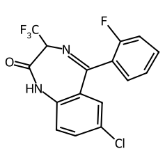 O=C1Nc2ccc(Cl)cc2C(c2ccccc2F)=NC1C(F)(F)F